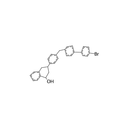 OC1CC(c2ccc(Cc3ccc(-c4ccc(Br)cc4)cc3)cc2)Cc2ccccc21